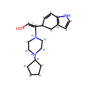 O/C=C(/C1C=Cc2[nH]ccc2C1)N1CCN(C2CCCC2)CC1